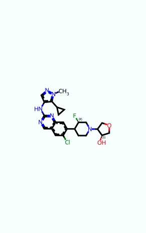 Cn1ncc(Nc2ncc3cc(Cl)c(C4CCN(C5COC[C@H]5O)C[C@@H]4F)cc3n2)c1C1CC1